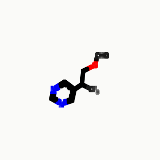 O=COCC(c1cncnc1)C(F)(F)F